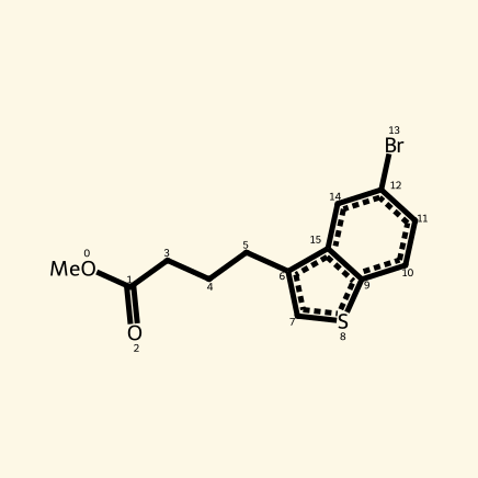 COC(=O)CCCc1csc2ccc(Br)cc12